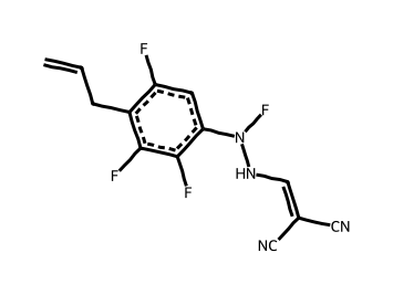 C=CCc1c(F)cc(N(F)NC=C(C#N)C#N)c(F)c1F